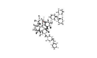 Fc1c(F)c(F)c([B-](c2c(F)c(F)c(F)c(F)c2F)(c2c(F)c(F)c(F)c(F)c2F)c2c(F)c(F)c(F)c(F)c2F)c(F)c1F.c1ccc([I+]c2ccccc2)cc1.c1ccc([S+](c2ccccc2)c2ccccc2)cc1